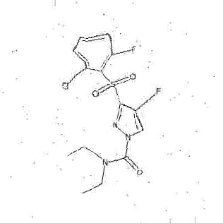 CCN(CC)C(=O)n1cc(F)c(S(=O)(=O)c2c(F)cccc2Cl)n1